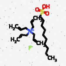 C=CC[N+](CC=C)(CC=C)CC=C.CCCCCCCCCCS(=O)(=O)O.[F-]